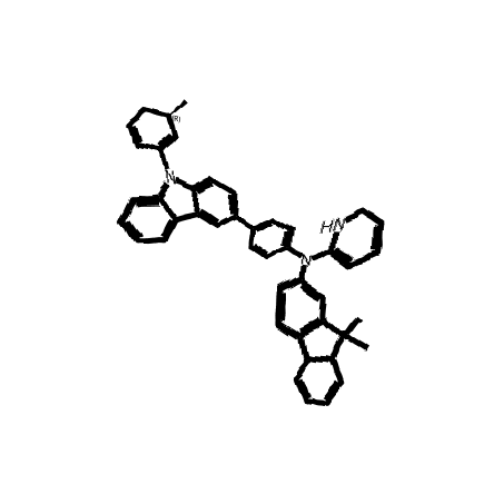 C[C@H]1C=C(n2c3ccccc3c3cc(-c4ccc(N(C5=CC=CCN5)c5ccc6c(c5)C(C)(C)C5C=CC=CC65)cc4)ccc32)C=CC1